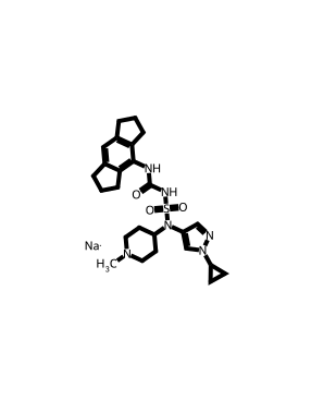 CN1CCC(N(c2cnn(C3CC3)c2)S(=O)(=O)NC(=O)Nc2c3c(cc4c2CCC4)CCC3)CC1.[Na]